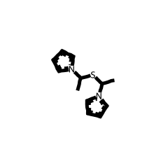 CC(SC(C)n1cccc1)n1cccc1